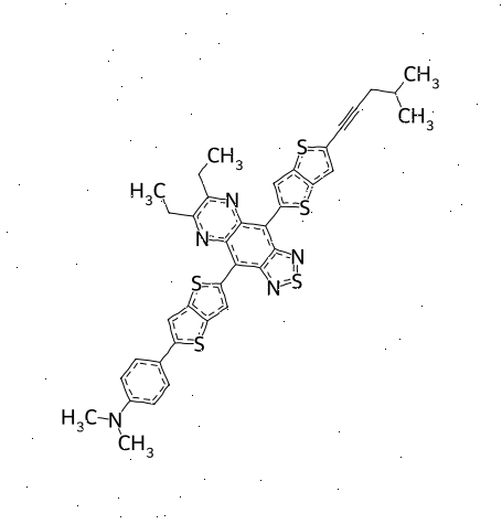 CCc1nc2c(-c3cc4sc(C#CCC(C)C)cc4s3)c3nsnc3c(-c3cc4sc(-c5ccc(N(C)C)cc5)cc4s3)c2nc1CC